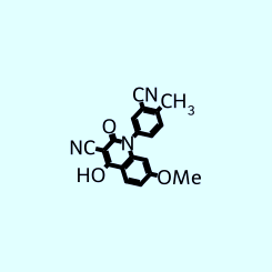 COc1ccc2c(O)c(C#N)c(=O)n(-c3ccc(C)c(C#N)c3)c2c1